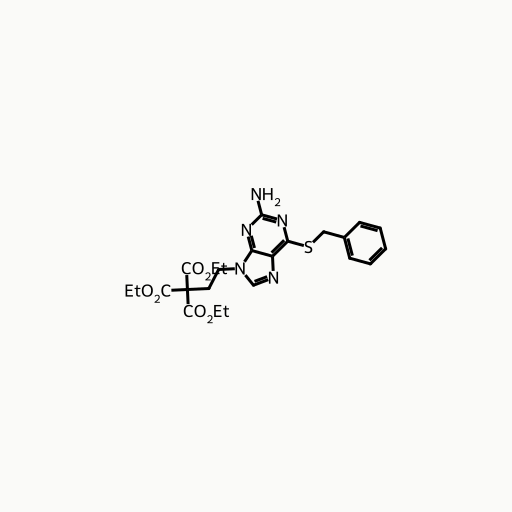 CCOC(=O)C(CCn1cnc2c(SCc3ccccc3)nc(N)nc21)(C(=O)OCC)C(=O)OCC